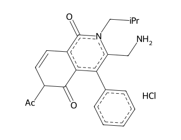 CC(=O)C1C=Cc2c(c(-c3ccccc3)c(CN)n(CC(C)C)c2=O)C1=O.Cl